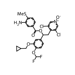 CSc1ccc(C(=O)OC(Cc2c(Cl)c[n+]([O-])cc2Cl)c2ccc(OC(F)F)c(OCC3CC3)c2)cc1N